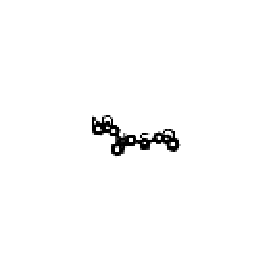 c1ccc2c(c1)oc1ccc(-c3ccc(-c4ccc5c(c4)c4ccccc4n5-c4ccc5oc6ncccc6c5c4)s3)cc12